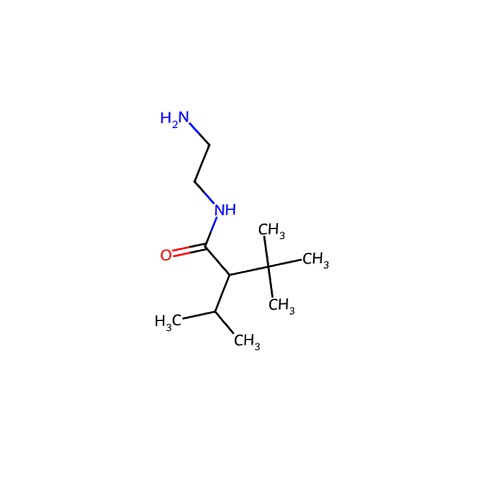 CC(C)C(C(=O)NCCN)C(C)(C)C